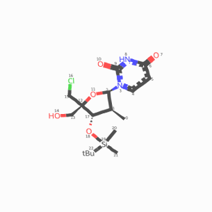 C[C@@H]1[C@H](n2ccc(=O)[nH]c2=O)O[C@@](CO)(CCl)[C@H]1O[Si](C)(C)C(C)(C)C